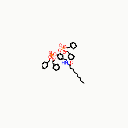 CCCCCCCCC(=O)NCc1ccc(OP(=O)(OCc2ccccc2)OCc2ccccc2)c(OP(=O)(OCc2ccccc2)OCc2ccccc2)c1